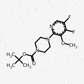 COc1c(N2CCN(C(=O)OC(C)(C)C)CC2)ncc(F)c1F